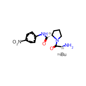 CC[C@H](C)[C@H](N)C(=O)N1CCC[C@H]1C(=O)Nc1ccc([N+](=O)[O-])cc1